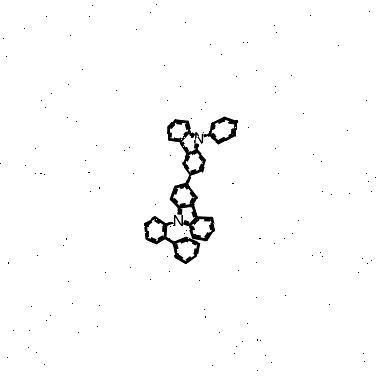 c1ccc(-c2ccccc2-n2c3ccccc3c3cc(-c4ccc5c(c4)c4ccccc4n5-c4ccccc4)ccc32)cc1